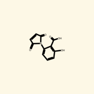 O=C(O)c1c(O)cccc1N1C(=O)C=CC1=O